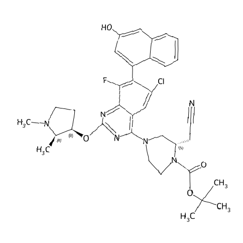 C[C@@H]1[C@H](Oc2nc(N3CCN(C(=O)OC(C)(C)C)[C@@H](CC#N)C3)c3cc(Cl)c(-c4cc(O)cc5ccccc45)c(F)c3n2)CCN1C